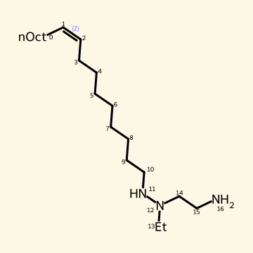 CCCCCCCC/C=C\CCCCCCCCNN(CC)CCN